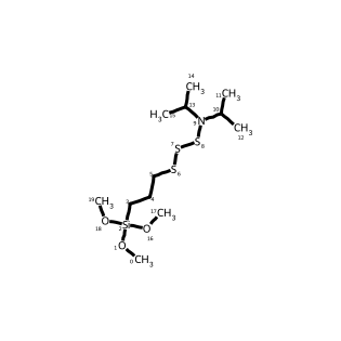 CO[Si](CCCSSSN(C(C)C)C(C)C)(OC)OC